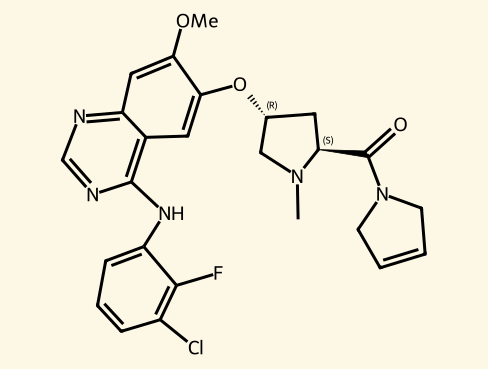 COc1cc2ncnc(Nc3cccc(Cl)c3F)c2cc1O[C@@H]1C[C@@H](C(=O)N2CC=CC2)N(C)C1